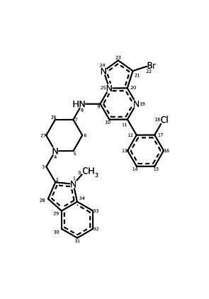 Cn1c(CN2CCC(Nc3cc(-c4ccccc4Cl)nc4c(Br)cnn34)CC2)cc2ccccc21